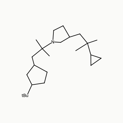 CC(C)(C)C1CCC(CC(C)(C)N2CCC(CC(C)(C)C3CC3)C2)C1